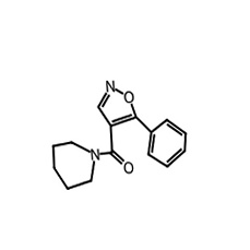 O=C(c1cnoc1-c1ccccc1)N1CCCCC1